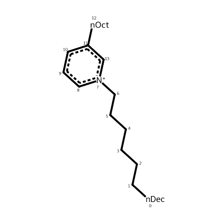 CCCCCCCCCCCCCCCC[n+]1cccc(CCCCCCCC)c1